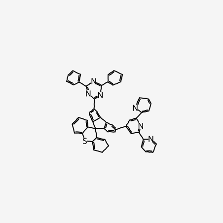 C1=C2Sc3ccccc3C3(C2=CCC1)c1ccc(-c2cc(-c4ccccn4)nc(-c4ccccn4)c2)cc1-c1cc(-c2nc(-c4ccccc4)nc(-c4ccccc4)n2)ccc13